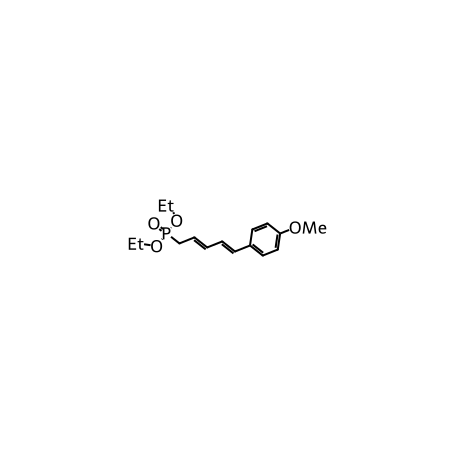 CCOP(=O)(CC=CC=Cc1ccc(OC)cc1)OCC